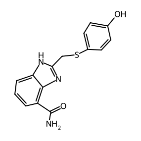 NC(=O)c1cccc2[nH]c(CSc3ccc(O)cc3)nc12